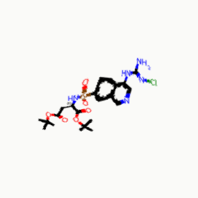 CC(C)(C)OC(=O)C[C@@H](NS(=O)(=O)c1ccc2c(NC(N)=NCl)cncc2c1)C(=O)OC(C)(C)C